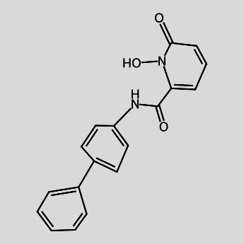 O=C(Nc1ccc(-c2ccccc2)cc1)c1cccc(=O)n1O